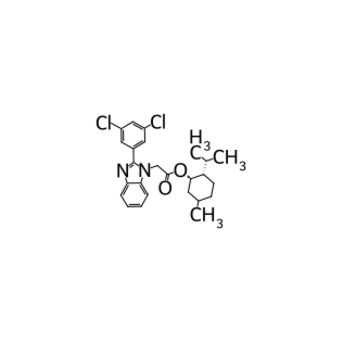 CC1CC[C@@H](C(C)C)[C@H](OC(=O)Cn2c(-c3cc(Cl)cc(Cl)c3)nc3ccccc32)C1